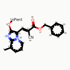 CCCCCOc1nc2c(C)cccn2c1C=C(C#N)C(=O)OCc1ccccc1